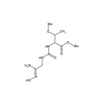 CC(OC(C)(C)C)C(NC(=O)NC/C(N)=N/O)C(=O)OC(C)(C)C